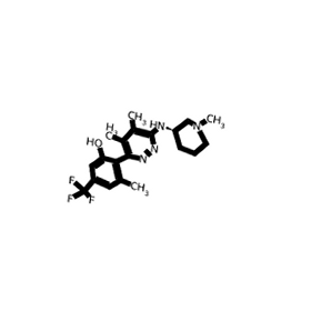 Cc1cc(C(F)(F)F)cc(O)c1-c1nnc(N[C@H]2CCCN(C)C2)c(C)c1C